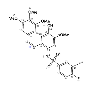 COc1cc(NS(=O)(=O)c2ccc(F)c(F)c2)c(/C=C\c2cc(OC)c(OC)c(OC)c2)cc1O